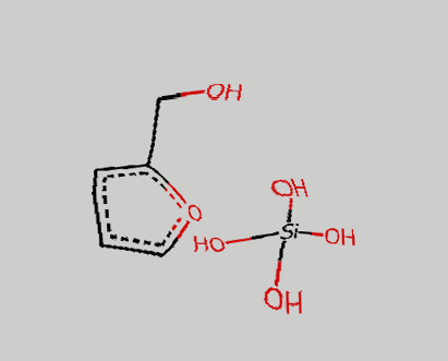 OCc1ccco1.O[Si](O)(O)O